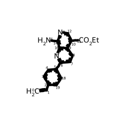 C=Cc1ccc(-c2ccc3c(C(=O)OCC)cnc(N)c3n2)cc1